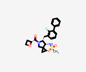 CS(=O)(=O)N[C@H]1[C@@H](Cc2cccc(-c3ccccc3)c2F)N(C(=O)[C@H]2CCO2)CC12CC2